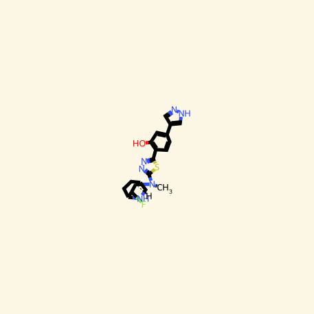 CN(c1nnc(-c2ccc(-c3cn[nH]c3)cc2O)s1)[C@@H]1C2CCC(NC2)C1F